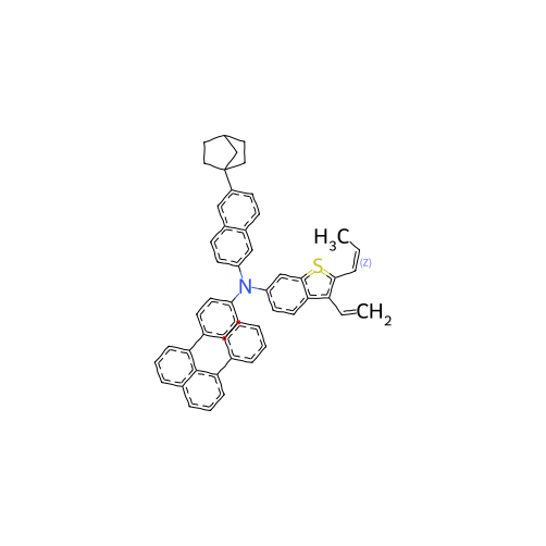 C=Cc1c(/C=C\C)sc2cc(N(c3ccc(-c4cccc5cccc(-c6ccccc6)c45)cc3)c3ccc4cc(C56CCC(CC5)C6)ccc4c3)ccc12